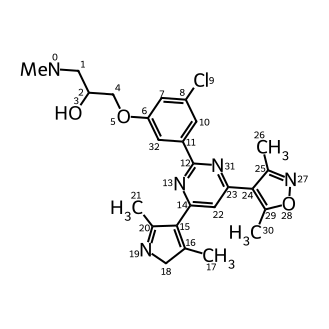 CNCC(O)COc1cc(Cl)cc(-c2nc(C3=C(C)CN=C3C)cc(-c3c(C)noc3C)n2)c1